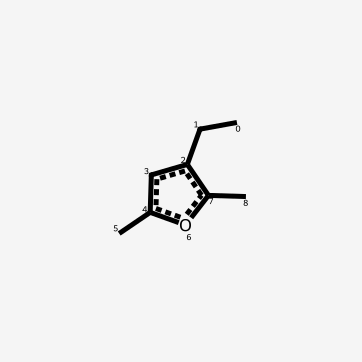 CCc1cc(C)oc1C